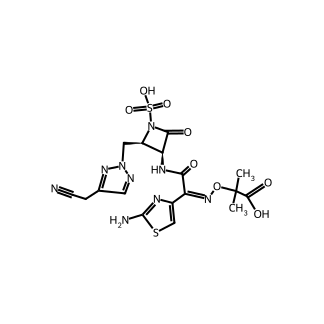 CC(C)(O/N=C(\C(=O)N[C@@H]1C(=O)N(S(=O)(=O)O)[C@@H]1Cn1ncc(CC#N)n1)c1csc(N)n1)C(=O)O